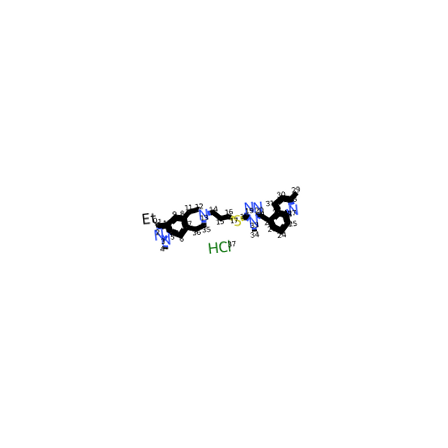 CCc1nn(C)c2cc3c(cc12)CCN(CCCSc1nnc(-c2cccc4nc(C)ccc24)n1C)CC3.Cl